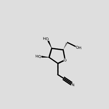 N#CCC1O[C@@H](CO)[C@H](O)[C@@H]1O